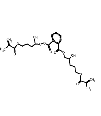 C=C(C)C(=O)OCCCC(O)COC(=O)c1ccccc1C(=O)OCC(O)CCCOC(=O)C(=C)C